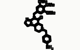 COc1cc(CN2C(=O)C3=C(CCN(Cc4ccc(N)cc4)C3)N3CCN=C23)cc(OC)c1OC